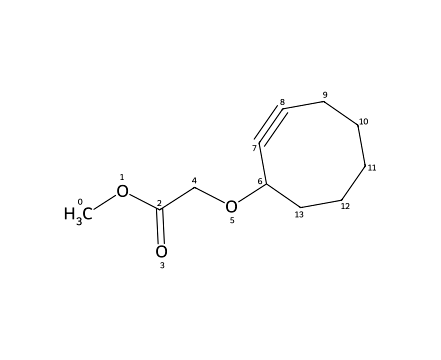 COC(=O)COC1C#CCCCCC1